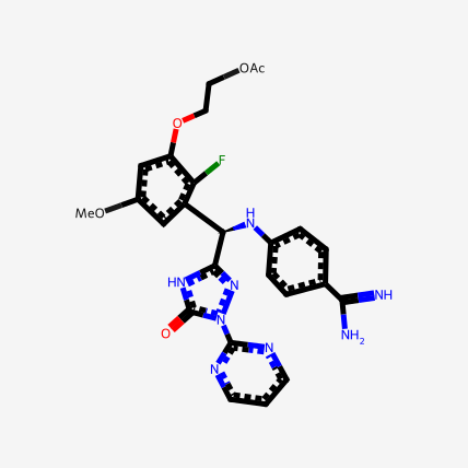 COc1cc(OCCOC(C)=O)c(F)c([C@@H](Nc2ccc(C(=N)N)cc2)c2nn(-c3ncccn3)c(=O)[nH]2)c1